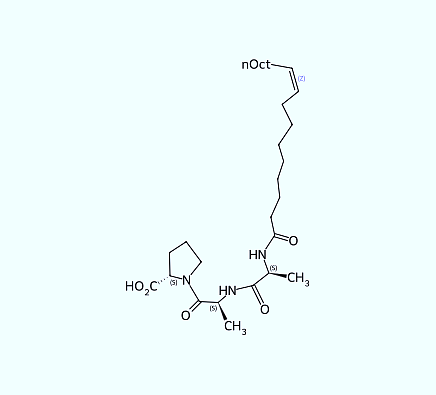 CCCCCCCC/C=C\CCCCCCCC(=O)N[C@@H](C)C(=O)N[C@@H](C)C(=O)N1CCC[C@H]1C(=O)O